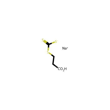 O=C(O)CCSC(=S)[S-].[Na+]